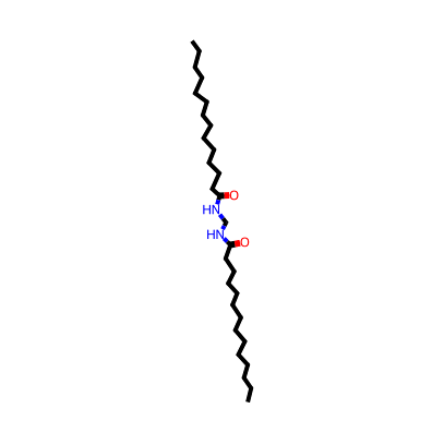 CCCCCCCCCCCCCC(=O)NCNC(=O)CCCCCCCCCCCCC